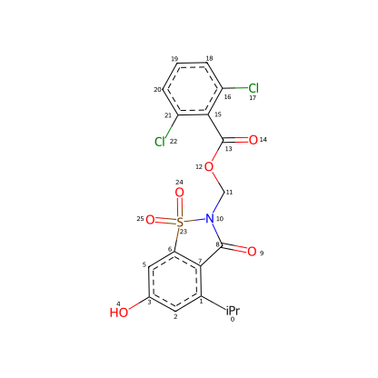 CC(C)c1cc(O)cc2c1C(=O)N(COC(=O)c1c(Cl)cccc1Cl)S2(=O)=O